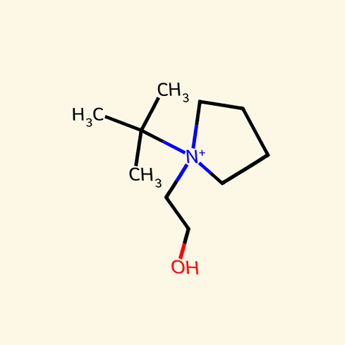 CC(C)(C)[N+]1(CCO)CCCC1